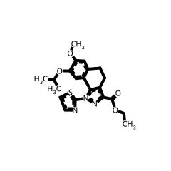 CCOC(=O)c1nn(-c2nccs2)c2c1CCc1cc(OC)c(OC(C)C)cc1-2